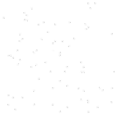 CCC1CC(C)C(=O)C(C)(C)C1=O